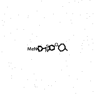 CNc1ccc(-c2nc3ccc(OC4CCCC(C)CCC4)cc3s2)cc1